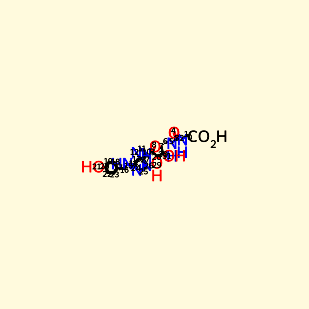 O=C(O)CNC(=O)NC[C@H]1O[C@@H](n2cnc3c(NCc4ccc(O)cc4)ncnc32)[C@@H](O)C1O